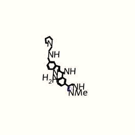 CN/C=C(\C=N)c1ccc(N)c(C(=N)c2cc3cc(CNCCN4CCCC4)ccc3[nH]2)c1